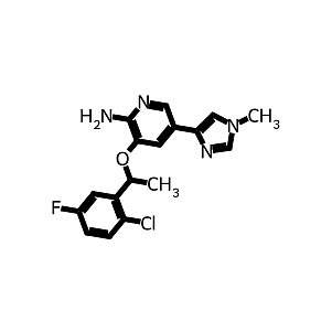 CC(Oc1cc(-c2cn(C)cn2)cnc1N)c1cc(F)ccc1Cl